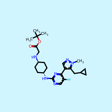 Cn1ncc(-c2nc(N[C@H]3CC[C@H](NCC(=O)OC(C)(C)C)CC3)ncc2F)c1CC1CC1